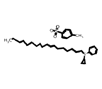 CCCCCCCCCCCCCCCCCC[S+](c1ccccc1)C1CC1.Cc1ccc(S(=O)(=O)[O-])cc1